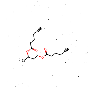 C#CCCCC(=O)OCCC(CC)OC(=O)CCCC#C